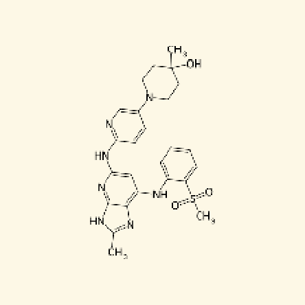 Cc1nc2c(Nc3ccccc3S(C)(=O)=O)cc(Nc3ccc(N4CCC(C)(O)CC4)cn3)nc2[nH]1